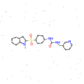 Cn1c(S(=O)(=O)c2ccc(NC(=O)NCc3cccnc3)cc2)cc2ccccc21